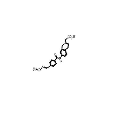 CCON=Cc1ccc(C(=O)Nc2ccc3c(c2)CN(CC(=O)OCC)CC3)cc1